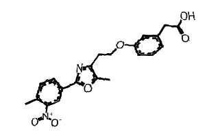 Cc1ccc(-c2nc(CCOc3cccc(CC(=O)O)c3)c(C)o2)cc1[N+](=O)[O-]